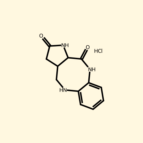 Cl.O=C1CC2CNc3ccccc3NC(=O)C2N1